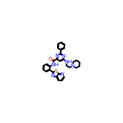 O=C(Nc1ccccc1-c1nc2cccnc2s1)c1cc(NCCN2CCCCC2)nc(-c2ccccc2)n1